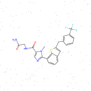 Cn1c(C(=O)NCC(N)=O)cnc1-c1cccc2cc(Cc3cccc(C(F)(F)F)c3)sc12